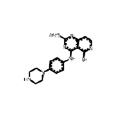 CSc1nc(Nc2ccc(N3CCNCC3)cc2)c2c(Br)nccc2n1